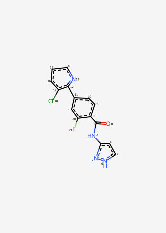 O=C(Nc1cc[nH]n1)c1ccc(-c2ncccc2Cl)cc1F